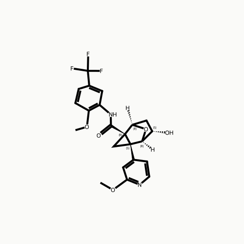 COc1cc([C@@]23C[C@]2(C(=O)Nc2cc(C(F)(F)F)ccc2OC)[C@H]2C[C@H](O)[C@@H]3O2)ccn1